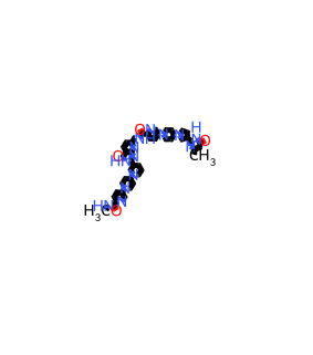 CNC(=O)c1ccc(N2CCC(N3CCCC(c4nc5nc(CNC(=O)c6ccc(N7CCC(N8CCC(c9nc(C)cc(=O)[nH]9)C8)CC7)cn6)ccc5c(=O)[nH]4)C3)CC2)cn1